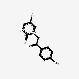 Cc1ccc(C(=O)Cn2cc(Cl)cnc2=O)cc1